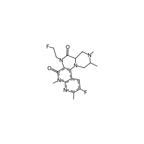 Cc1nc2c(cc1F)c1c(c(=O)n2C)N(CCF)C(=O)C2CN(C)C(C)CN12